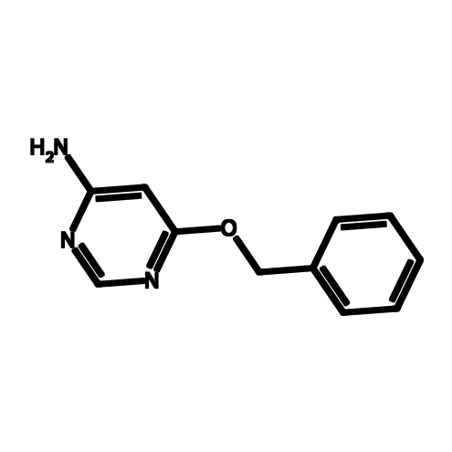 Nc1cc(OCc2ccccc2)ncn1